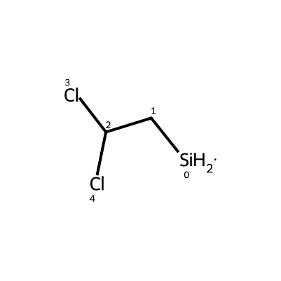 [SiH2]CC(Cl)Cl